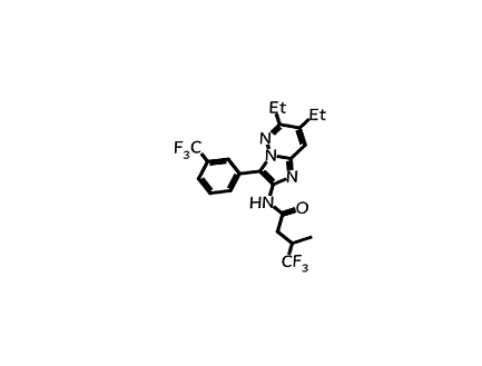 CCc1cc2nc(NC(=O)CC(C)C(F)(F)F)c(-c3cccc(C(F)(F)F)c3)n2nc1CC